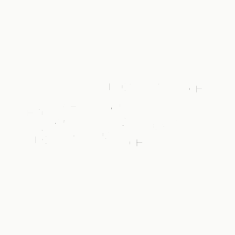 CC(C=O)CC(C)CC(C)(C)OCCC(C)(C)O